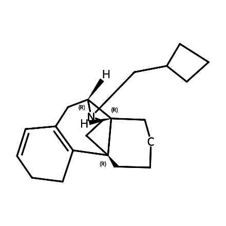 C1=CC2=C(CC1)[C@@]13CCCC[C@H]1[C@@H](C2)N(CC1CCC1)CC3